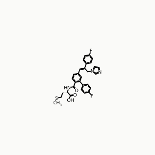 CSCC[C@H](NC(=O)c1ccc(C=C(Cn2ccnc2)c2ccc(F)cc2)cc1-c1ccc(F)cc1)C(=O)O